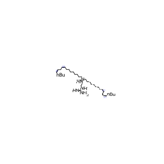 CCCC/C=C\C/C=C\CCCCCCCCN(CCCCCCCC/C=C\C/C=C\CCCC)NCCNC(=N)N